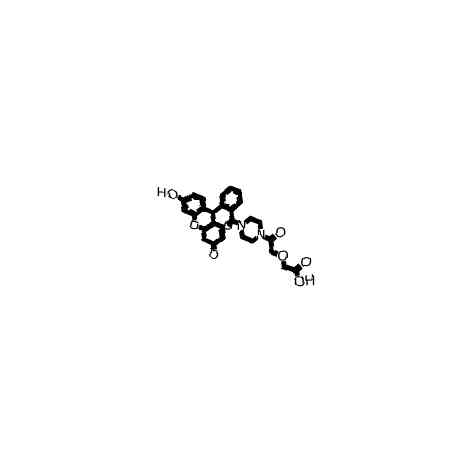 O=C(O)COCC(=O)N1CCN(C(=O)c2ccccc2C2C3=C(CC(=O)C=C3)Oc3cc(O)ccc32)CC1